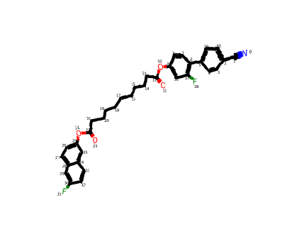 N#Cc1ccc(-c2ccc(OC(=O)CCCCCCCCCC(=O)Oc3ccc4cc(F)ccc4c3)cc2F)cc1